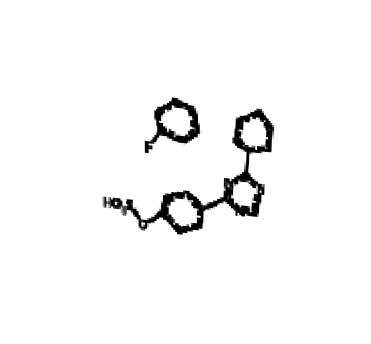 Fc1ccccc1.O=S(=O)(O)Oc1ccc(-c2ncnc(-c3ccccc3)n2)cc1